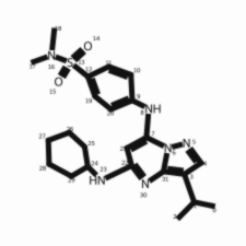 CC(C)c1cnn2c(Nc3ccc(S(=O)(=O)N(C)C)cc3)cc(NC3CCCCC3)nc12